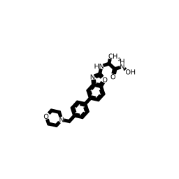 CC(Nc1nc2cc(-c3ccc(CN4CCOCC4)cc3)ccc2o1)C(=O)NO